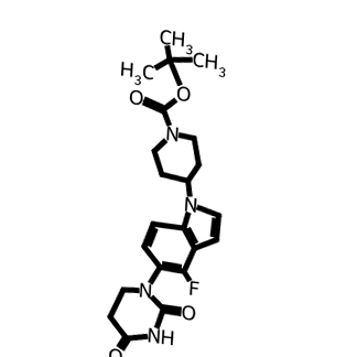 CC(C)(C)OC(=O)N1CCC(n2ccc3c(F)c(N4CCC(=O)NC4=O)ccc32)CC1